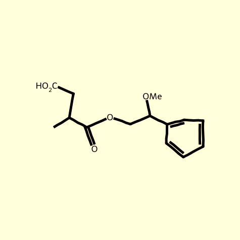 COC(COC(=O)C(C)CC(=O)O)c1ccccc1